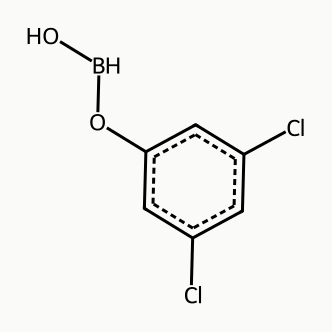 OBOc1cc(Cl)cc(Cl)c1